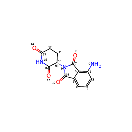 Nc1cccc2c1C(=O)N([C@H]1CCC(=O)NC1=O)C2=O